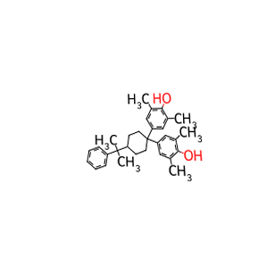 Cc1cc(C2(c3cc(C)c(O)c(C)c3)CCC(C(C)(C)c3ccccc3)CC2)cc(C)c1O